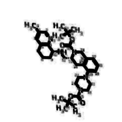 Cc1cnc2c(c1)CCC[C@@H]2NC[C@H]1Cc2c(cccc2N2CCN(C(=O)OC(C)(C)C)CC2)CN1C(=O)OC(C)(C)C